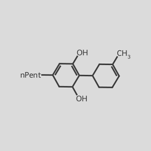 CCCCCC1=CC(O)=C(C2CCC=C(C)C2)C(O)C1